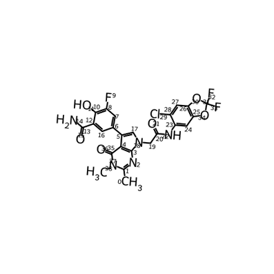 Cc1nc2c(c(-c3cc(F)c(O)c(C(N)=O)c3)cn2CC(=O)Nc2cc3c(cc2Cl)OC(F)(F)O3)c(=O)n1C